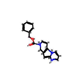 O=C(OCc1ccccc1)N1C=Cc2c(cc3ncccn23)C1